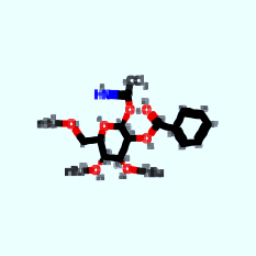 CCCCOCC1O[C@@H](OC(=N)C(Cl)(Cl)Cl)C(OC(=O)c2ccccc2)[C@H](OCCCC)[C@@H]1OCCCC